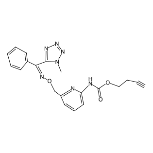 C#CCCOC(=O)Nc1cccc(CON=C(c2ccccc2)c2nnnn2C)n1